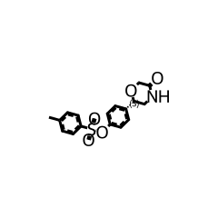 Cc1ccc(S(=O)(=O)Oc2ccc([C@H]3CNC(=O)CO3)cc2)cc1